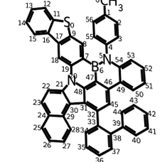 Cc1ccc(N2B3c4cc5sc6ccccc6c5cc4-n4c5ccc6ccccc6c5c5c(-c6ccccc6-c6ccccc6)cc(c3c54)-c3ccccc32)cc1